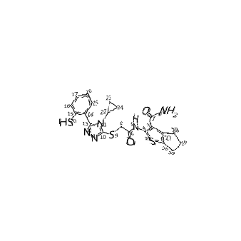 NC(=O)c1c(NC(=O)CSc2nnc(-c3ccccc3S)n2C2CC2)sc2c1CCC2